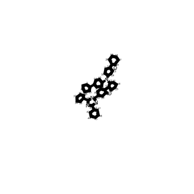 c1ccc(-c2ccc(N(c3ccc4c(c3)oc3ccccc34)c3cccc4oc5cc(-c6nc(-c7ccccc7)nc(-c7ccccc7)n6)ccc5c34)cc2)cc1